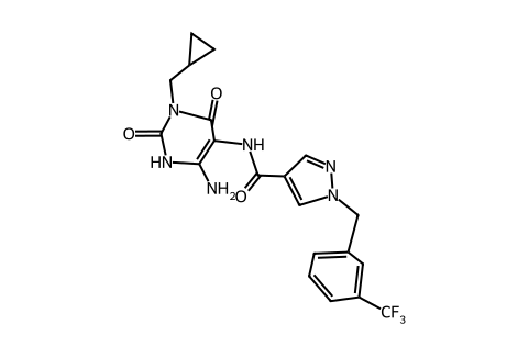 Nc1[nH]c(=O)n(CC2CC2)c(=O)c1NC(=O)c1cnn(Cc2cccc(C(F)(F)F)c2)c1